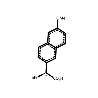 CCC[C@H](C(=O)O)c1ccc2cc(OC)ccc2c1